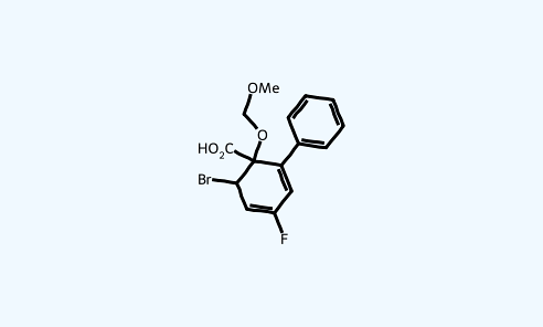 COCOC1(C(=O)O)C(c2ccccc2)=CC(F)=CC1Br